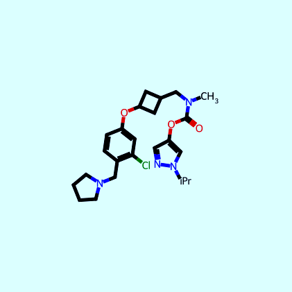 CC(C)n1cc(OC(=O)N(C)CC2CC(Oc3ccc(CN4CCCC4)c(Cl)c3)C2)cn1